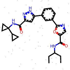 CCC(CC)NC(=O)c1cnc(-c2cccc(-c3cc(C(=O)NC4(C5CC5)CC4)n[nH]3)c2)o1